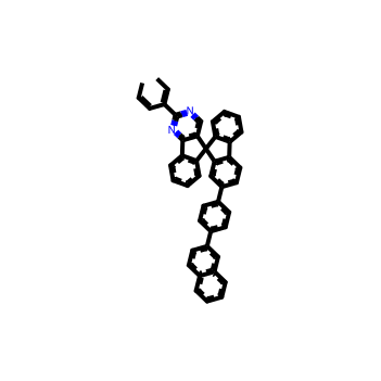 C/C=C\C(=C/C)c1ncc2c(n1)-c1ccccc1C21c2ccccc2-c2ccc(-c3ccc(-c4ccc5ccccc5c4)cc3)cc21